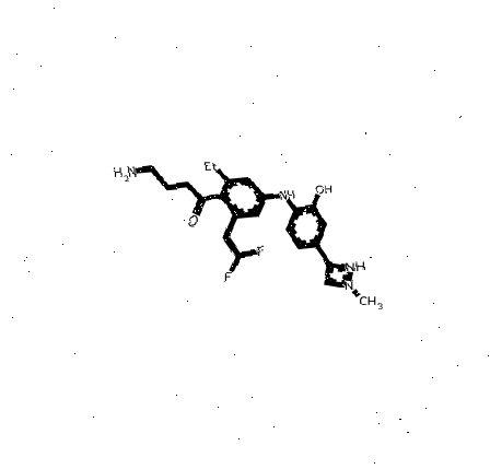 CCc1cc(Nc2ccc(-c3cn(C)[nH]3)cc2O)cc(CC(F)F)c1C(=O)CCCN